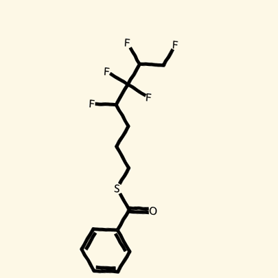 O=C(SCCCC(F)C(F)(F)C(F)CF)c1ccccc1